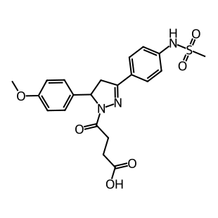 COc1ccc(C2CC(c3ccc(NS(C)(=O)=O)cc3)=NN2C(=O)CCC(=O)O)cc1